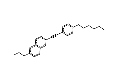 CCCCCCc1ccc(C#Cc2ccc3cc(CCC)ccc3c2)cc1